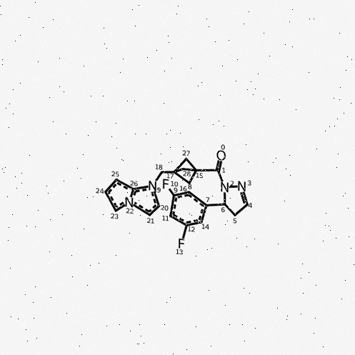 O=C(N1N=CCC1c1cc(F)cc(F)c1)C12CC(Cn3ccn4cccc34)(C1)C2